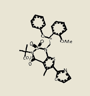 COc1ccccc1[C@H](CN1c2sc(-c3ncco3)c(C)c2C(=O)N(C(C)(C)C(=O)O)S1(=O)=O)Oc1ccccc1